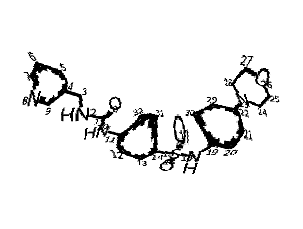 O=C(NCc1cccnc1)Nc1ccc(S(=O)(=O)Nc2ccc(N3CCOCC3)cc2)cc1